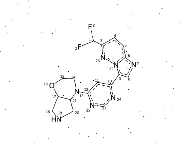 FC(F)c1ccc2ncc(-c3cc(N4CCOC5CNCC54)ncn3)n2n1